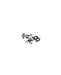 CC(C)[C@@H]1CN(S(C)(=O)=O)C[C@H]1n1sc(Nc2c(Cl)ccc3ncccc23)c(C#N)c1=O